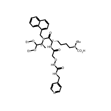 CCOC(OCC)[C@H](C)N(Cc1cccc2ccccc12)C(=O)[C@H](CCCCN(C(=O)O)C(C)(C)C)NC(=O)CONC(=O)NCc1ccncc1